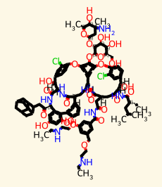 CCNCCOCc1cc(OCCNCC)cc(C(=O)NC(=O)C[C@@H]2CC(=O)[C@H](NC(=O)[C@H](CC)CC(C)C)[C@H](O)c3ccc(c(Cl)c3)Oc3cc4cc(c3O[C@@H]3O[C@H](CO)[C@@H](O)[C@H](O)[C@H]3O[C@H]3C[C@](C)(N)[C@H](O)[C@H](C)O3)Oc3ccc(cc3Cl)[C@@H](O)[C@@H]3NC(=O)[C@H](CC(=O)[C@@H]4NC2=O)c2ccc(O)c(c2)-c2c(O)cc(O)cc2[C@@H](C(=O)CC2C4CC5CC(C4)CC2C5)NC3=O)c1